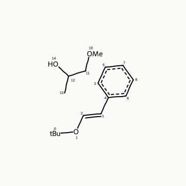 CC(C)(C)OC=Cc1ccccc1.COCC(C)O